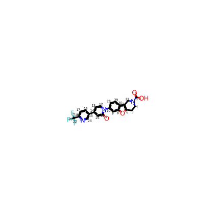 O=C(O)N1CCc2oc3cc(-n4ccc(-c5ccc(C(F)(F)F)nc5)cc4=O)ccc3c2C1